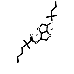 CCCCC(C)(C)C(=O)OC1CO[C@]2(C)C(OC(C)(C)CCC)CO[C@]12I